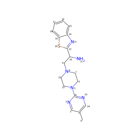 Cc1cnc(N2CCN(CC(N)c3nc4ccccc4s3)CC2)nc1